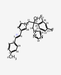 Cc1ccc(/C=C/c2ccn(CC(O)(Cn3cncn3)c3ccc(F)cc3F)c2)cc1